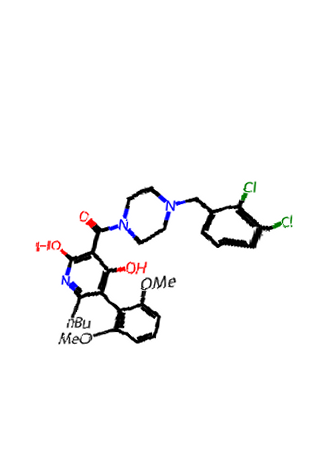 CCCCc1nc(O)c(C(=O)N2CCN(Cc3cccc(Cl)c3Cl)CC2)c(O)c1-c1c(OC)cccc1OC